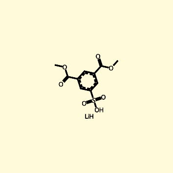 COC(=O)c1cc(C(=O)OC)cc(S(=O)(=O)O)c1.[LiH]